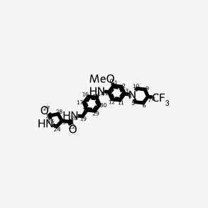 COc1cc(N2CCC(C(F)(F)F)CC2)ccc1Nc1ccc(CNC(=O)C2CNC(=O)C2)cc1